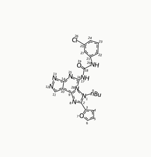 CCCCn1c(-c2ccco2)nc2c3cnnc-3nc(NC(=O)Nc3cccc(Cl)c3)n21